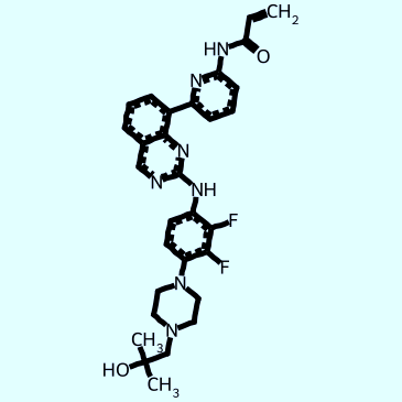 C=CC(=O)Nc1cccc(-c2cccc3cnc(Nc4ccc(N5CCN(CC(C)(C)O)CC5)c(F)c4F)nc23)n1